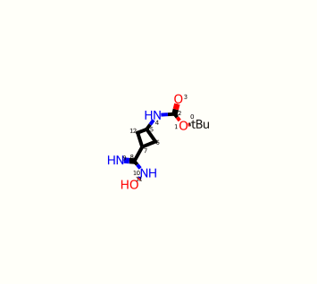 CC(C)(C)OC(=O)NC1CC(C(=N)NO)C1